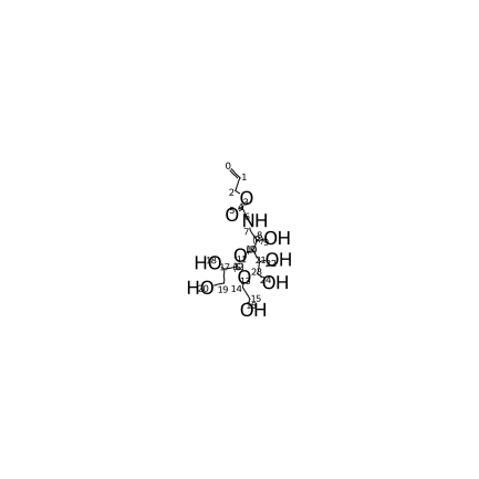 C=CCOC(=O)NC[C@@H](O)[C@H](O[C@H](OCCO)C(O)CO)C(O)CO